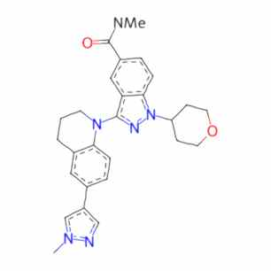 CNC(=O)c1ccc2c(c1)c(N1CCCc3cc(-c4cnn(C)c4)ccc31)nn2C1CCOCC1